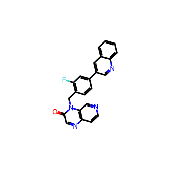 O=c1cnc2ccncc2n1Cc1ccc(-c2cnc3ccccc3c2)cc1F